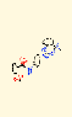 CC(=O)Oc1ccccc1C(=O)N[C@H]1CC[C@@H](Nc2nc(N(C)C)c3ccccc3n2)CC1